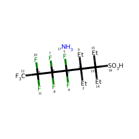 CCC(CC)(C(F)(F)C(F)(F)C(F)(F)C(F)(F)F)C(CC)(CC)S(=O)(=O)O.N